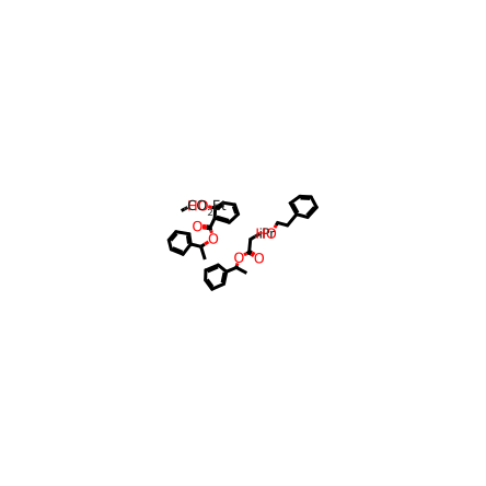 CC(C)CC(=O)OC(C)c1ccccc1.CC(OC(=O)c1ccccc1O)c1ccccc1.CCOC(C)=O.OCCc1ccccc1